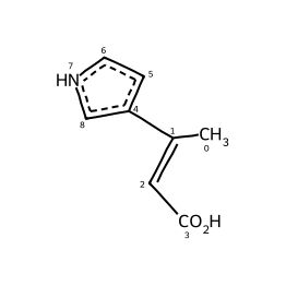 C/C(=C\C(=O)O)c1cc[nH]c1